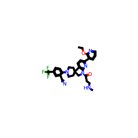 CCOc1ncccc1-c1ccc2c(n1)N(C(=O)CCNC)CC21CCN(c2ccc(C(F)(F)F)cc2C#N)CC1